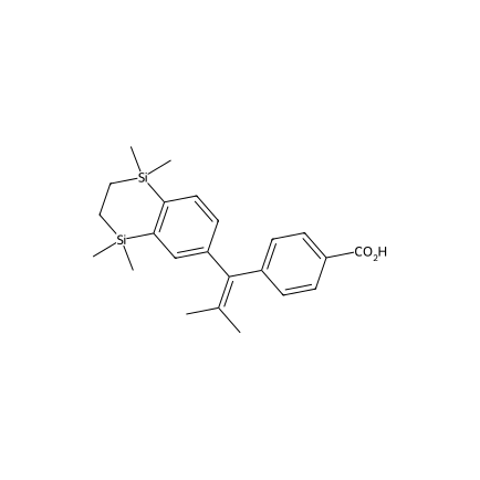 CC(C)=C(c1ccc(C(=O)O)cc1)c1ccc2c(c1)[Si](C)(C)CC[Si]2(C)C